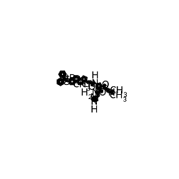 CN(C)CCNC(=O)[C@@H]1C[C@H](NC(=O)CCC2CCC3C4CCC5C[C@H](O[Si](c6ccccc6)(c6ccccc6)C(C)(C)C)CC[C@]5(C)C4CC[C@]23C)CN1C(=O)C(N)Cc1c[nH]cn1